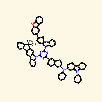 CC1(C)c2ccccc2-c2cc3c4ccccc4n(-c4nc(-c5ccc6cc(N(c7ccccc7)c7ccc8c9ccccc9n(-c9ccccc9)c8c7)ccc6c5)nc(-n5c6ccccc6c6cc(-c7ccc8oc9ccccc9c8c7)ccc65)n4)c3cc21